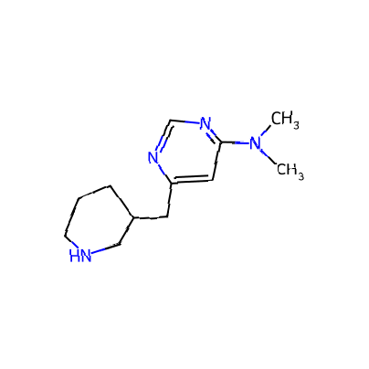 CN(C)c1cc(CC2CCCNC2)ncn1